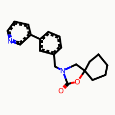 O=C1OC2(CCCCC2)CN1Cc1cccc(-c2cccnc2)c1